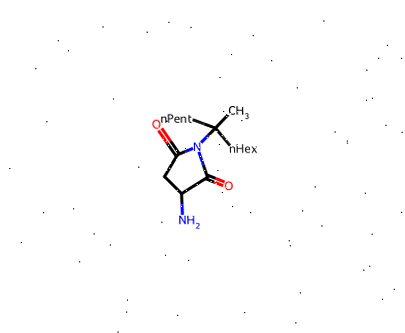 CCCCCCC(C)(CCCCC)N1C(=O)CC(N)C1=O